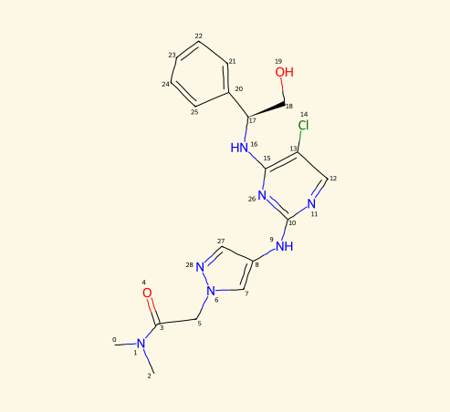 CN(C)C(=O)Cn1cc(Nc2ncc(Cl)c(N[C@H](CO)c3ccccc3)n2)cn1